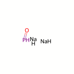 O=P.[NaH].[NaH]